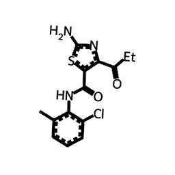 CCC(=O)c1nc(N)sc1C(=O)Nc1c(C)cccc1Cl